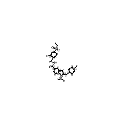 CCS(=O)(=O)c1ccc(CNC(=O)c2ccc3c(c2)cc(Cc2ccc(C)cc2)n3C(C)C)c(F)c1